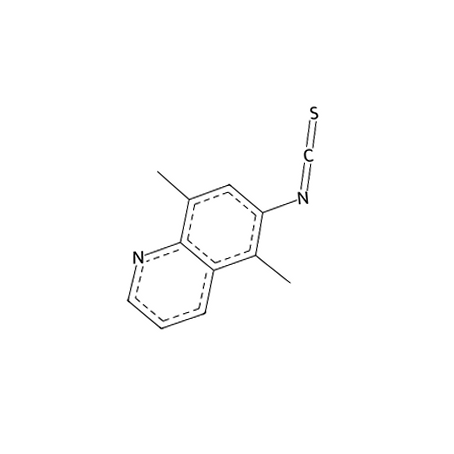 Cc1c(N=C=S)cc(C)c2ncccc12